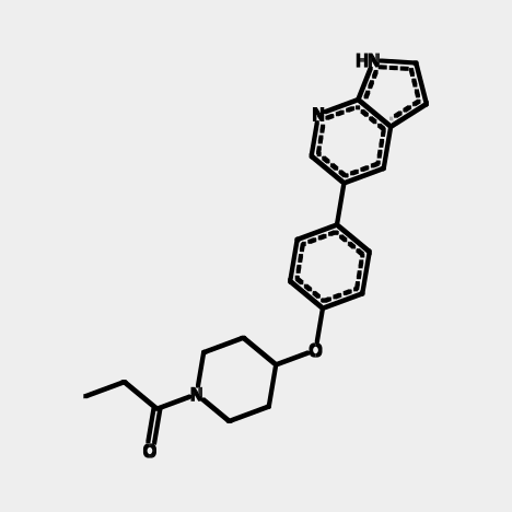 CCC(=O)N1CCC(Oc2ccc(-c3cnc4[nH]ccc4c3)cc2)CC1